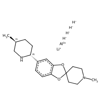 C[C@H]1CC[C@H](c2ccc3c(c2)OC2(CCN(C)CC2)O3)NC1.[Al+3].[H-].[H-].[H-].[H-].[Li+]